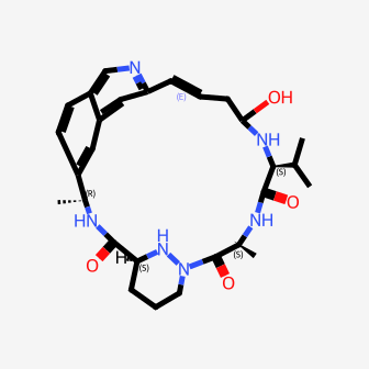 CC(C)[C@@H]1NC(O)C/C=C/c2cc3cc(ccc3cn2)[C@@H](C)NC(=O)[C@@H]2CCCN(N2)C(=O)[C@H](C)NC1=O